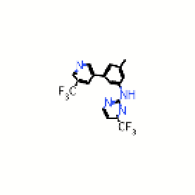 Cc1cc(Nc2nccc(C(F)(F)F)n2)cc(-c2cncc(C(F)(F)F)c2)c1